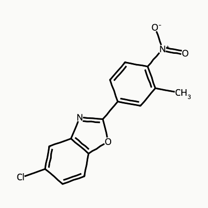 Cc1cc(-c2nc3cc(Cl)ccc3o2)ccc1[N+](=O)[O-]